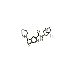 O=C(N[C@@H]1C[C@@H]2CCN(C2)C1)c1cc2c(N3CCOCC3)csc2cn1